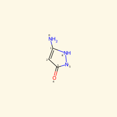 NC1=CC(=O)[N]N1